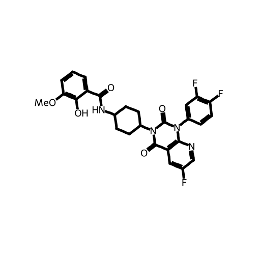 COc1cccc(C(=O)NC2CCC(n3c(=O)c4cc(F)cnc4n(-c4ccc(F)c(F)c4)c3=O)CC2)c1O